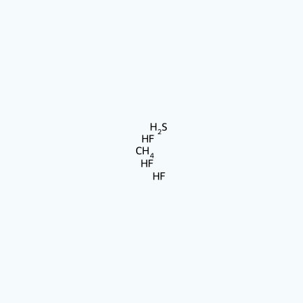 C.F.F.F.S